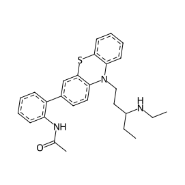 CCNC(CC)CCN1c2ccccc2Sc2cc(-c3ccccc3NC(C)=O)ccc21